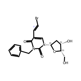 O=c1c(/C=C/Br)cn([C@@H]2C[C@H](O)[C@H](CO)O2)c(=O)n1Cc1ccccc1